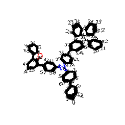 c1ccc(-c2ccc(N(c3ccc(-c4ccc([Si](c5ccccc5)(c5ccccc5)c5ccccc5)cc4)cc3)c3ccc(-c4cccc5c4oc4ccccc45)cc3)cc2)cc1